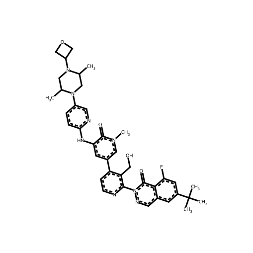 CC1CN(C2COC2)C(C)CN1c1ccc(Nc2cc(-c3ccnc(-n4ncc5cc(C(C)(C)C)cc(F)c5c4=O)c3CO)cn(C)c2=O)nc1